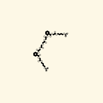 O=C(COCC(=O)OCC(=O)Oc1ccccc1C(=O)OCC(=O)OCCCCO[N+](=O)[O-])OCC(=O)Oc1ccccc1C(=O)OCC(=O)OCCCCO[N+](=O)[O-]